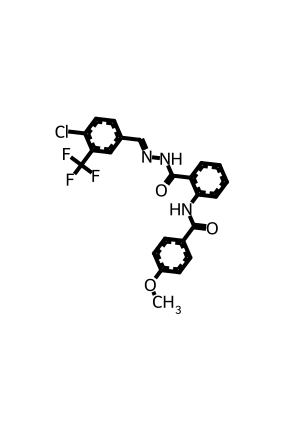 COc1ccc(C(=O)Nc2ccccc2C(=O)NN=Cc2ccc(Cl)c(C(F)(F)F)c2)cc1